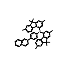 Cc1ccc2c(c1)C(C)(C)c1cc(C)cc(N(c3ccc(-c4ccc5ccccc5c4)cc3)c3cc(C)cc4c3-c3ccc(C)cc3C4(C)C)c1-2